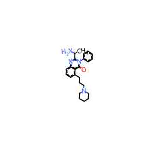 C[C@H](N)c1nc2cccc(CCCN3CCCCC3)c2c(=O)n1-c1ccccc1